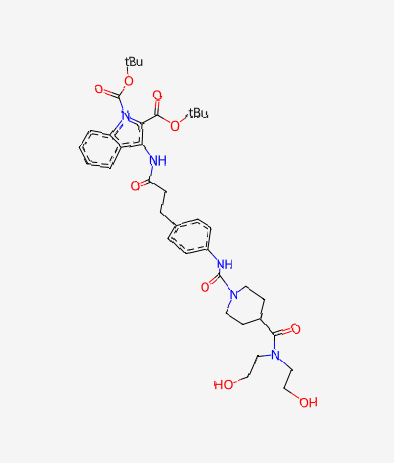 CC(C)(C)OC(=O)c1c(NC(=O)CCc2ccc(NC(=O)N3CCC(C(=O)N(CCO)CCO)CC3)cc2)c2ccccc2n1C(=O)OC(C)(C)C